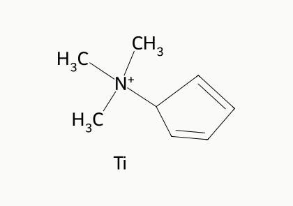 C[N+](C)(C)C1C=CC=C1.[Ti]